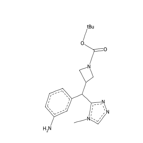 Cn1cnnc1C(c1cccc(N)c1)C1CN(C(=O)OC(C)(C)C)C1